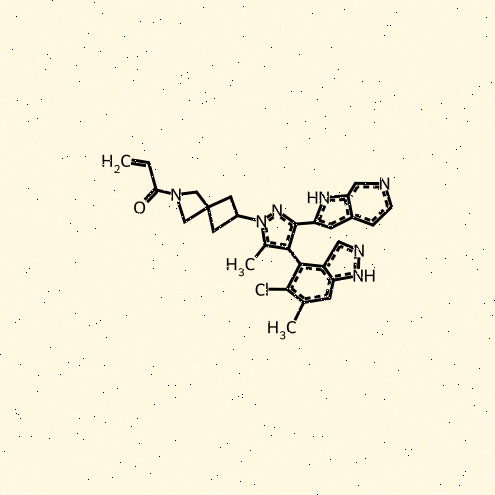 C=CC(=O)N1CC2(CC(n3nc(-c4cc5ccncc5[nH]4)c(-c4c(Cl)c(C)cc5[nH]ncc45)c3C)C2)C1